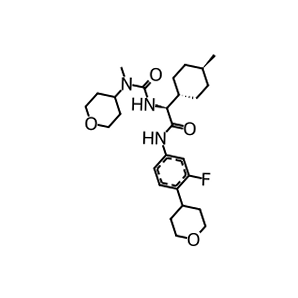 CN(C(=O)N[C@H](C(=O)Nc1ccc(C2CCOCC2)c(F)c1)[C@H]1CC[C@H](C)CC1)C1CCOCC1